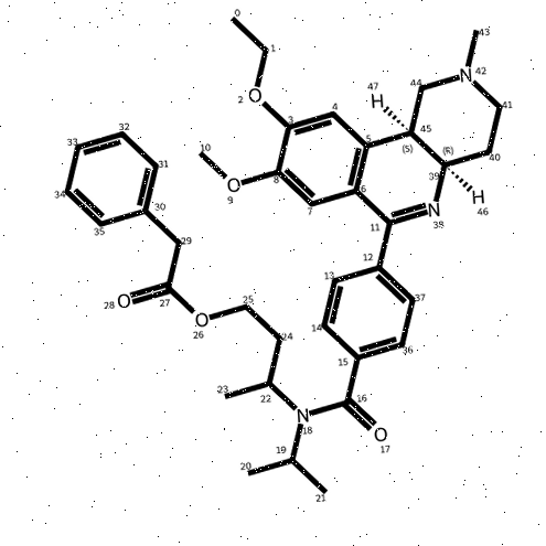 CCOc1cc2c(cc1OC)C(c1ccc(C(=O)N(C(C)C)C(C)CCOC(=O)Cc3ccccc3)cc1)=N[C@@H]1CCN(C)C[C@H]21